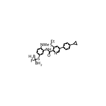 BC(B)(F)Sc1ccc(NC)c(NC(=O)c2ncc(-c3ccc(C4CC4)cc3)cc2SCC)c1